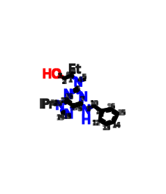 CC[C@H](CO)N(C)c1nc(NCc2ccccc2)c2ncn(C(C)C)c2n1